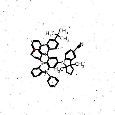 CC(C)(C)c1ccc(N2c3ccccc3B3c4ccccc4N(c4ccccc4)c4cc(N5c6ccc(C#N)cc6C6(C)CCCC56C)cc2c43)c(-c2ccccc2)c1